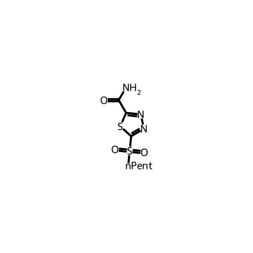 CCCCCS(=O)(=O)c1nnc(C(N)=O)s1